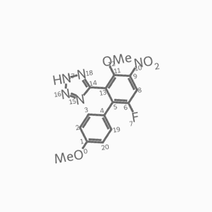 COc1ccc(-c2c(F)cc([N+](=O)[O-])c(OC)c2-c2nn[nH]n2)cc1